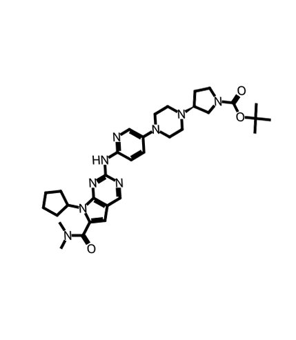 CN(C)C(=O)c1cc2cnc(Nc3ccc(N4CCN([C@H]5CCN(C(=O)OC(C)(C)C)C5)CC4)cn3)nc2n1C1CCCC1